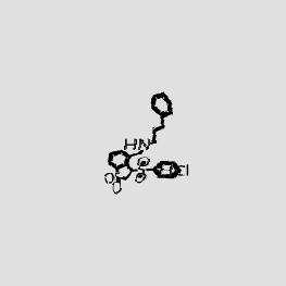 Cl.O=S1(=O)CC(S(=O)(=O)c2ccccc2)c2c(CNCCCc3ccccc3)cccc21